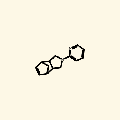 C1=CC2CC1C1CN(c3ccccn3)CC21